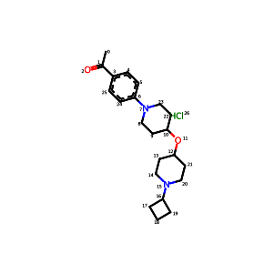 CC(=O)c1ccc(N2CCC(OC3CCN(C4CCC4)CC3)CC2)cc1.Cl